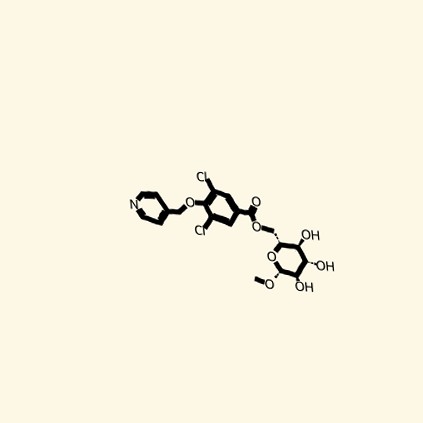 CO[C@@H]1O[C@H](COC(=O)c2cc(Cl)c(OCc3ccncc3)c(Cl)c2)[C@@H](O)[C@H](O)[C@H]1O